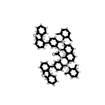 Cc1cccc(C)c1B1c2ccc(-c3cccc4oc5ccccc5c34)cc2N2C(=O)N3c4cc(-c5cccc6oc7ccccc7c56)ccc4B(c4c(C)cccc4C)c4ccc5ccc1c2c5c43